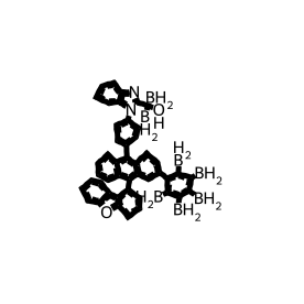 Bc1c(B)c(B)c(-c2ccc3c(-c4ccc(-n5c(C(B)(B)O)nc6ccccc65)cc4)c4ccccc4c(-c4cccc5oc6ccccc6c45)c3c2)c(B)c1B